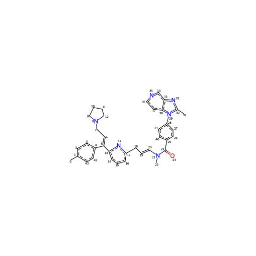 Cc1ccc(C(=CCN2CCCC2)c2cccc(CC=CN(C)C(=O)c3ccc(-n4c(C)nc5cnccc54)cc3)n2)cc1